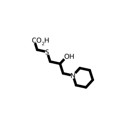 O=C(O)CSCC(O)CN1CCCCC1